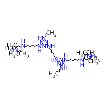 C=CCNc1nc(NCCCCCCNc2nc(NCC=C)nc(NCCCCCCNC3CC(C)(C)NC(C)(C)C3)n2)nc(NCCCCCCNC2CC(C)(C)NC(C)(C)C2)n1